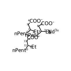 CCCCCC(CC)CC(=O)[O-].CCCCCC(CC)CC(=O)[O-].CCCCCC(CC)CC(=O)[O-].[Nd+3]